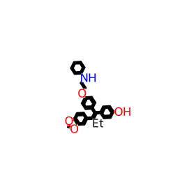 CCC(=C(c1ccc(O)cc1)c1ccc(OCCNC2CCCCC2)cc1)c1ccc2c(c1)OCO2